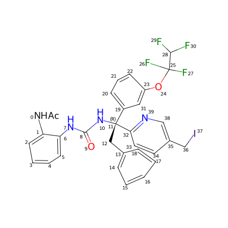 CC(=O)Nc1ccccc1NC(=O)N[C@](Cc1ccccc1)(c1cccc(OC(F)(F)C(F)F)c1)c1ccc(CI)cn1